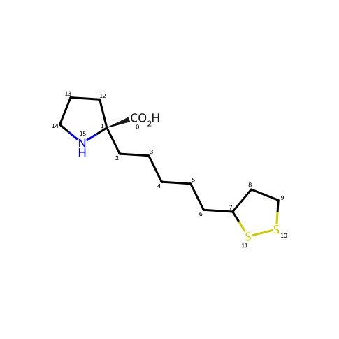 O=C(O)[C@]1(CCCCCC2CCSS2)CCCN1